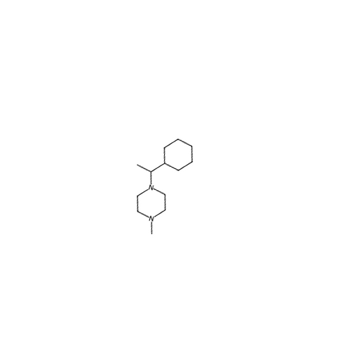 CC(C1CCCCC1)N1CCN(C)CC1